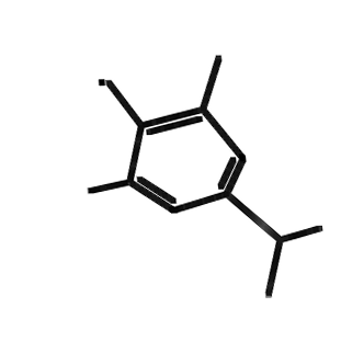 [CH2]c1c(C)cc(C(C)C)cc1C